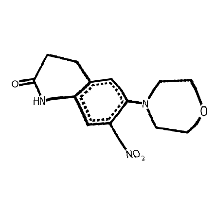 O=C1CCc2cc(N3CCOCC3)c([N+](=O)[O-])cc2N1